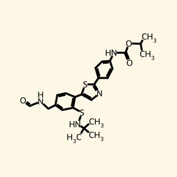 CC(C)OC(=O)Nc1ccc(-c2ncc(-c3ccc(CNC=O)cc3SNC(C)(C)C)s2)cc1